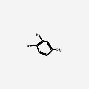 [CH2]c1ccc(Br)c(Br)c1